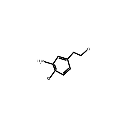 Nc1cc(CCCl)ccc1Cl